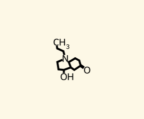 CCCN1CCC(O)C2CC(=O)CCC21